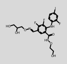 O=C(NOCCO)c1cc(/C=N/OCC(O)CO)c(F)c(F)c1Nc1ccc(I)cc1F